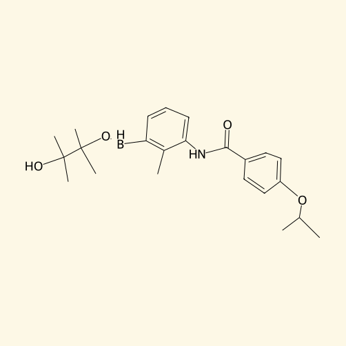 Cc1c(BOC(C)(C)C(C)(C)O)cccc1NC(=O)c1ccc(OC(C)C)cc1